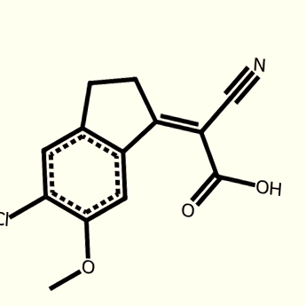 COc1cc2c(cc1Cl)CCC2=C(C#N)C(=O)O